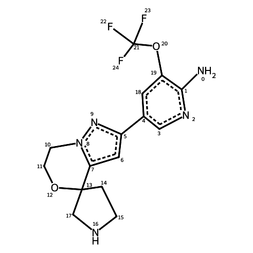 Nc1ncc(-c2cc3n(n2)CCOC32CCNC2)cc1OC(F)(F)F